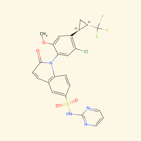 COc1cc([C@H]2C[C@@H]2C(F)(F)F)c(Cl)cc1-n1c(=O)ccc2cc(S(=O)(=O)Nc3ncccn3)ccc21